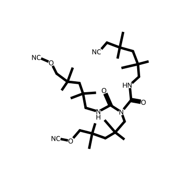 CC(C)(CC#N)CC(C)(C)CNC(=O)N(CC(C)(C)CC(C)(C)COC#N)C(=O)NCC(C)(C)CC(C)(C)COC#N